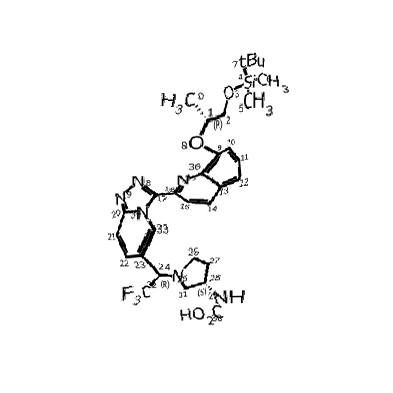 C[C@H](CO[Si](C)(C)C(C)(C)C)Oc1cccc2ccc(-c3nnc4ccc([C@@H](N5CC[C@H](NC(=O)O)C5)C(F)(F)F)cn34)nc12